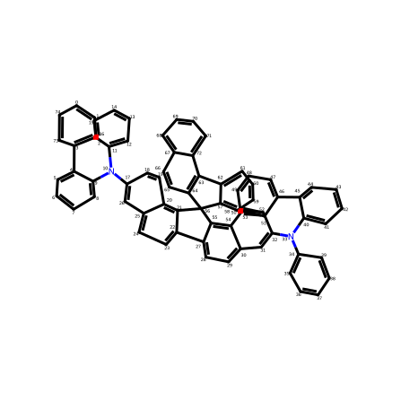 c1ccc(-c2ccccc2N(c2ccccc2)c2ccc3c4c(ccc3c2)-c2ccc3cc(N(c5ccccc5)c5ccccc5-c5ccccc5)ccc3c2C42c3ccccc3-c3c2ccc2ccccc32)cc1